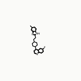 Cc1ccc2[nH]c(CCC3CCC(c4ccnc5ccc(F)cc45)CC3)nc2c1